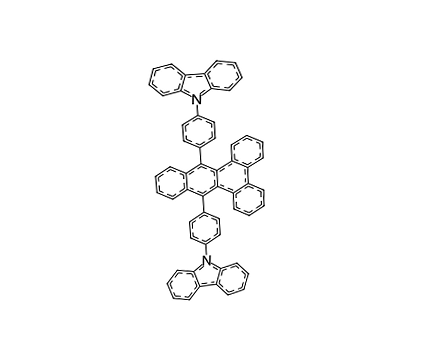 c1ccc2c(-c3ccc(-n4c5ccccc5c5ccccc54)cc3)c3c4ccccc4c4ccccc4c3c(-c3ccc(-n4c5ccccc5c5ccccc54)cc3)c2c1